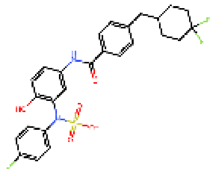 O=C(Nc1ccc(O)c(N(c2ccc(F)cc2)S(=O)(=O)O)c1)c1ccc(CC2CCC(F)(F)CC2)cc1